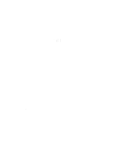 CC1CC2C(CC3CCCC3C2c2ccccc2)C1[SiH](C)C